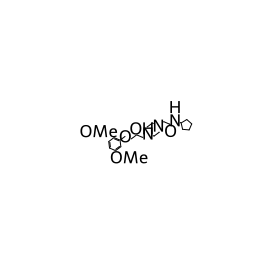 COc1ccc(OC)c(OCC(O)CN2CCN(CC(=O)NC3CCCC3)CC2)c1